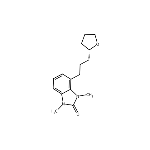 Cn1c(=O)n(C)c2c(CCC[C@@H]3CCCO3)cccc21